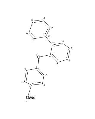 COc1ccc(Oc2ccccc2-c2cc[c]cc2)cc1